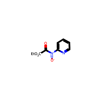 CCOC(=O)C(=O)[NH+]([O-])c1ccccn1